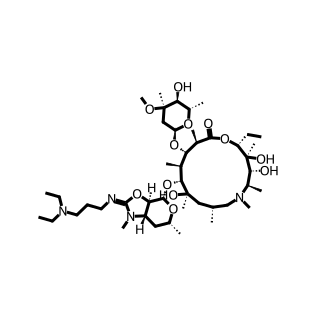 CC[C@H]1OC(=O)[C@H](C)[C@@H](O[C@H]2C[C@@](C)(OC)[C@@H](O)[C@H](C)O2)[C@H](C)[C@@H](O[C@@H]2O[C@H](C)C[C@H]3[C@H]2O/C(=N/CCCN(CC)CC)N3C)[C@](C)(O)C[C@@H](C)CN(C)[C@H](C)[C@@H](O)[C@]1(C)O